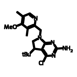 COc1c(C)cnc(CN2CC(C(C)(C)C)c3c(Cl)nc(N)nc32)c1C